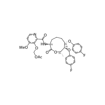 COc1ccnc(C(=O)N[C@H]2CCC[C@H](Oc3ccc(F)cc3)[C@@H](Oc3ccc(F)cc3)[C@H](C)OC2=O)c1OCOC(C)=O